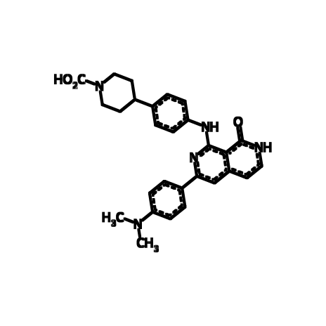 CN(C)c1ccc(-c2cc3cc[nH]c(=O)c3c(Nc3ccc(C4CCN(C(=O)O)CC4)cc3)n2)cc1